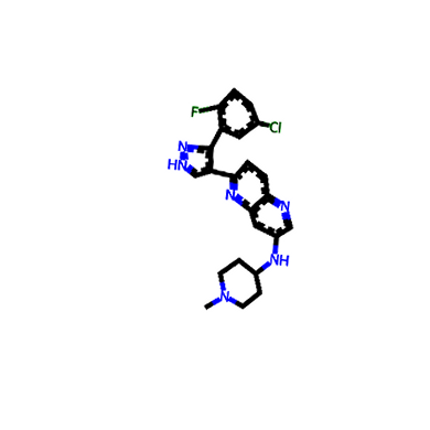 CN1CCC(Nc2cnc3ccc(-c4c[nH]nc4-c4cc(Cl)ccc4F)nc3c2)CC1